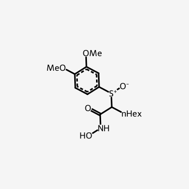 CCCCCCC(C(=O)NO)[S+]([O-])c1ccc(OC)c(OC)c1